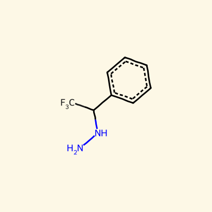 NNC(c1ccccc1)C(F)(F)F